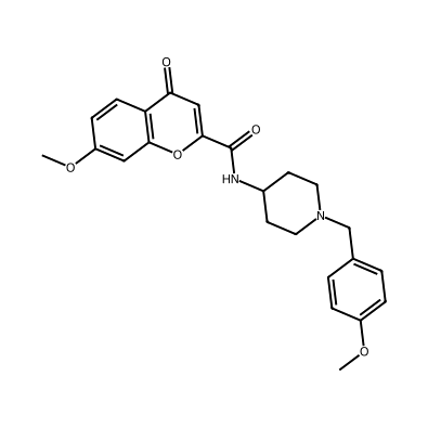 COc1ccc(CN2CCC(NC(=O)c3cc(=O)c4ccc(OC)cc4o3)CC2)cc1